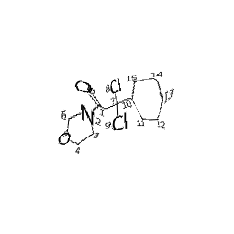 O=C(N1CCOC1)C(Cl)(Cl)C1CCCCC1